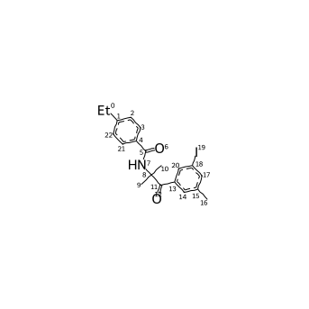 CCc1ccc(C(=O)NC(C)(C)C(=O)c2cc(C)cc(I)c2)cc1